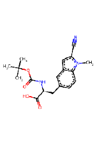 Cn1c(C#N)cc2cc(C[C@H](NC(=O)OC(C)(C)C)C(=O)O)ccc21